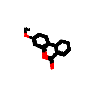 CCCCOc1ccc2c(c1)oc(=O)c1ccccc12